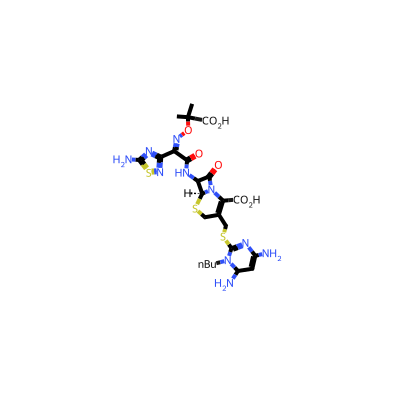 CCCCN1C(SCC2=C(C(=O)O)N3C(=O)C(NC(=O)/C(=N\OC(C)(C)C(=O)O)c4nsc(N)n4)[C@@H]3SC2)=NC(N)=CC1N